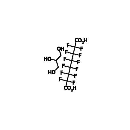 O=C(O)C(F)(F)C(F)(F)C(F)(F)C(F)(F)C(F)(F)C(F)(F)C(=O)O.OCC(O)CO